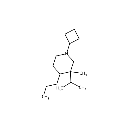 CCCC1CCN(C2CCC2)CC1(C)C(C)C